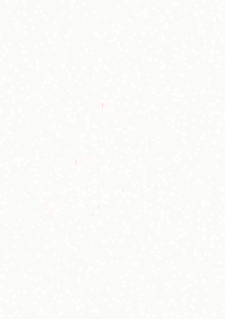 [O]c1cccc2sc(=O)oc12